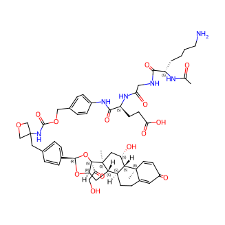 CC(=O)N[C@@H](CCCCN)C(=O)NCC(=O)N[C@@H](CCC(=O)O)C(=O)Nc1ccc(COC(=O)NC2(Cc3ccc([C@@H]4O[C@@H]5C[C@H]6[C@@H]7CCC8=CC(=O)C=C[C@]8(C)[C@H]7[C@@H](O)C[C@]6(C)[C@]5(C(=O)CO)O4)cc3)COC2)cc1